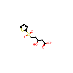 O=C(O)CC(O)CCS(=O)(=O)c1cccs1